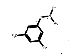 CCN(Oc1cc(Br)cc(C(F)(F)F)c1)C(C)=O